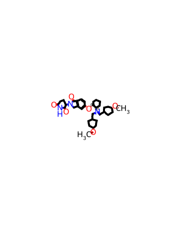 COC1CCC(CN(CC2CCC(OC)CC2)[C@H]2CCCC[C@H]2Oc2ccc3c(c2)CN(C2CCC(=O)NC2=O)C3=O)CC1